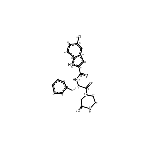 O=C1CN(C(=O)[C@H](Cc2ccccc2)NC(=O)c2cc3cc(Cl)ncc3[nH]2)CCN1